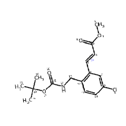 COC(=O)/C=C/c1cc(Cl)ccc1CNC(=O)OC(C)(C)C